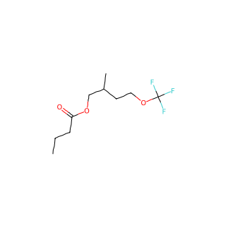 CCCC(=O)OCC(C)CCOC(F)(F)F